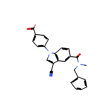 CN(Cc1ccccc1)C(=O)c1ccc2c(c1)c(C#N)cn2-c1ccc(C(=O)O)cc1